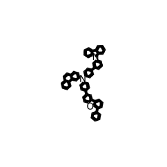 c1ccc(-c2cccc3c2oc2ccc(-c4ccc(N(c5ccc(-c6cccc(-n7c8ccccc8c8ccccc87)c6)cc5)c5ccc6ccc7ccccc7c6c5)cc4)cc23)cc1